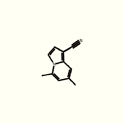 Cc1cc(C)n2ccc(C#N)c2c1